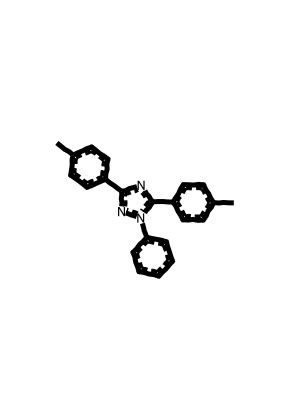 Cc1ccc(-c2nc(-c3ccc(C)cc3)n(-c3ccccc3)n2)cc1